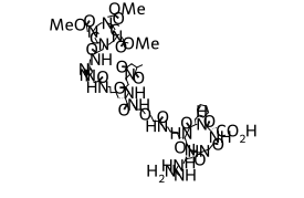 COC(=O)CN1CCN(CC(=O)NCc2cn(CC(=O)NCCCC[C@H](NC(=O)CCN3C(=O)CC(C)C3=O)C(=O)NCCOCCC(=O)NCCCC[C@@H]3NC(=O)[C@@H](Cc4ccccc4)NC(=O)[C@H](CC(=O)O)NC(=O)CNC(=O)[C@H](CCCNC(=N)N)NC3=O)nn2)CCN(CC(=O)OC)CCN(CC(=O)OC)CC1